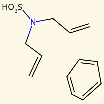 C=CCN(CC=C)S(=O)(=O)O.c1ccccc1